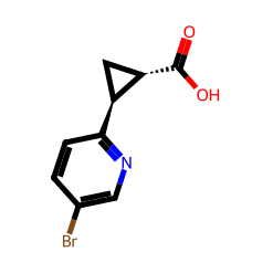 O=C(O)[C@H]1C[C@@H]1c1ccc(Br)cn1